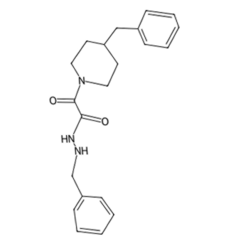 O=C(NNCc1ccccc1)C(=O)N1CCC(Cc2ccccc2)CC1